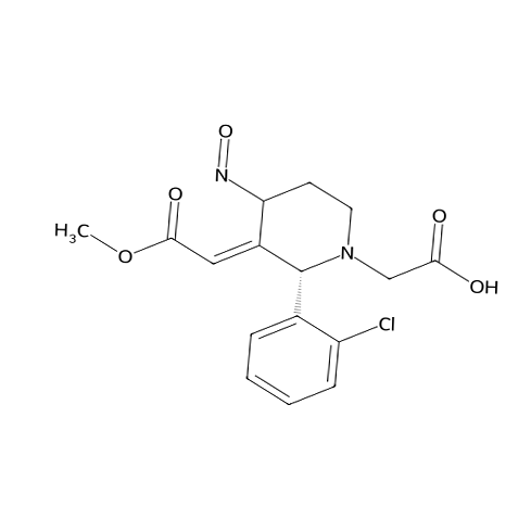 COC(=O)/C=C1\C(N=O)CCN(CC(=O)O)[C@@H]1c1ccccc1Cl